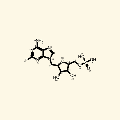 Nc1nc(F)nc2c1ncn2CC1OC(COP(=O)(O)O)C(O)C1O